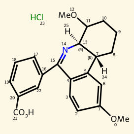 COc1ccc2c(c1)[C@H]1CCCC(OC)[C@@H]1N=C2c1cccc(C(=O)O)c1.Cl